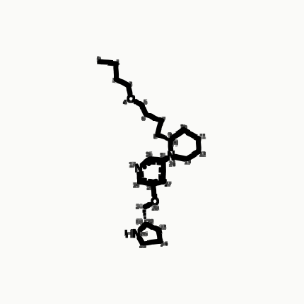 CCCCOCCCC[C@H]1CCCCN1c1cncc(OC[C@@H]2CCCN2)c1